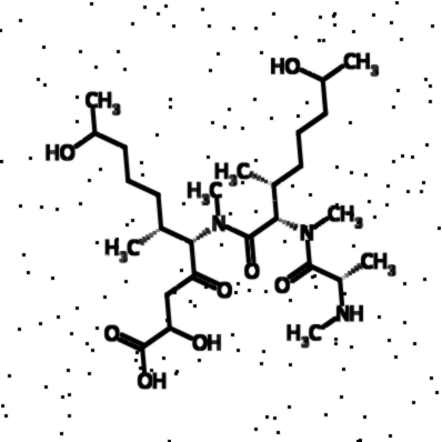 CN[C@@H](C)C(=O)N(C)[C@H](C(=O)N(C)[C@H](C(=O)CC(O)C(=O)O)[C@H](C)CCCC(C)O)[C@H](C)CCCC(C)O